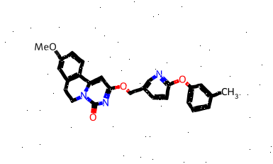 COc1ccc2c(c1)CCn1c-2cc(OCc2ccc(Oc3cccc(C)c3)nc2)nc1=O